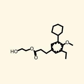 CCc1cc(CCC(=O)OCCO)cc(C2CCCCC2)c1OC